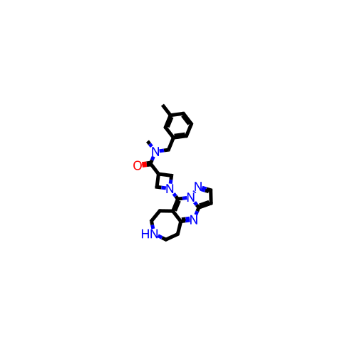 Cc1cccc(CN(C)C(=O)C2CN(c3c4c(nc5ccnn35)CCNCC4)C2)c1